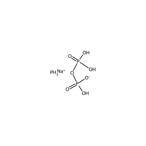 O=P([O-])(O)OP(=O)(O)O.P.[Na+]